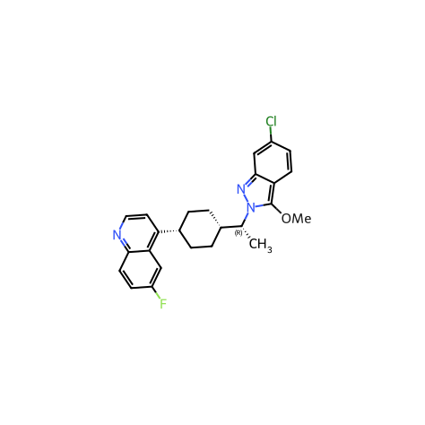 COc1c2ccc(Cl)cc2nn1[C@H](C)[C@H]1CC[C@@H](c2ccnc3ccc(F)cc32)CC1